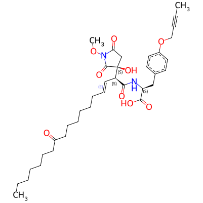 CC#CCOc1ccc(C[C@H](NC(=O)[C@@H](/C=C/CCCCCCC(=O)CCCCCCC)[C@@]2(O)CC(=O)N(OC)C2=O)C(=O)O)cc1